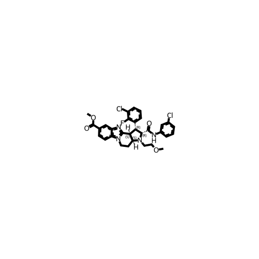 COCCN1[C@H]2CCn3c(nc4cc(C(=O)OC)ccc43)[C@H]2[C@H](c2cccc(Cl)c2F)[C@@H]1C(=O)Nc1cccc(Cl)c1